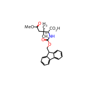 COC(=O)CC(C)(C)[C@H](NC(=O)OCC1c2ccccc2-c2ccccc21)C(=O)O